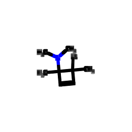 CCC1(C)C=CC1(C)N(C)C